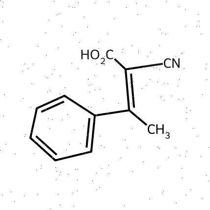 CC(=C(C#N)C(=O)O)c1ccccc1